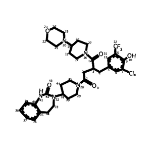 O=C(CC(Cc1cc(Cl)c(O)c(C(F)(F)F)c1)C(=O)N1CCC(N2CCOCC2)CC1)N1CCC(N2CCc3ccccc3NC2=O)CC1